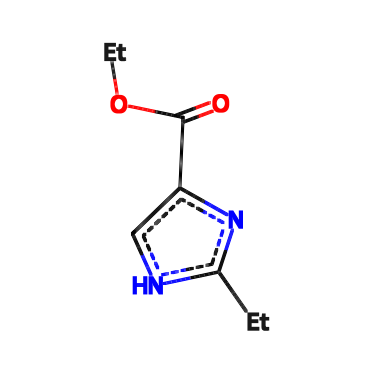 CCOC(=O)c1c[nH]c(CC)n1